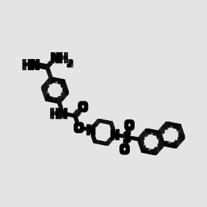 N=C(N)c1ccc(NC(=O)ON2CCN(S(=O)(=O)c3ccc4ccccc4c3)CC2)cc1